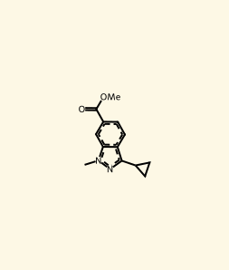 COC(=O)c1ccc2c(C3CC3)nn(C)c2c1